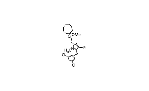 COC1(OCCc2nc(C(C)C)c(Sc3cc(Cl)cc(Cl)c3)n2C)CCCCCCC1